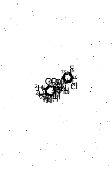 [2H]C1=C(C(=O)OCC)[C@]([2H])(S(=O)(=O)N([2H])c2ccc(F)cc2Cl)C([2H])([2H])C([2H])([2H])C1([2H])[2H]